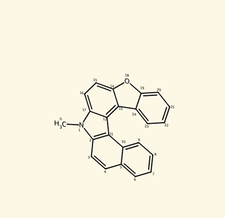 Cn1c2ccc3ccccc3c2c2c3c(ccc21)oc1ccccc13